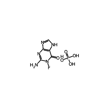 Nc1nc2nc[nH]c2c(=O)n1F.O=P(O)(O)O